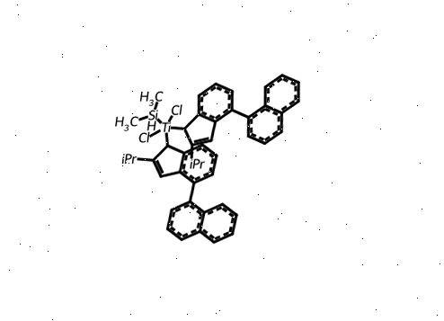 CC(C)C1=Cc2c(-c3cccc4ccccc34)cccc2[CH]1[Ti]([Cl])([Cl])([CH]1C(C(C)C)=Cc2c(-c3cccc4ccccc34)cccc21)[SiH](C)C